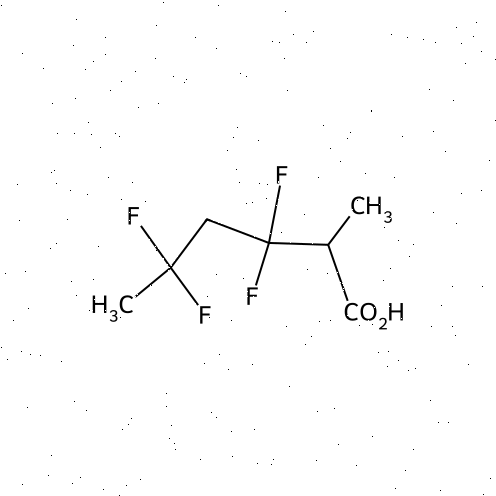 CC(C(=O)O)C(F)(F)CC(C)(F)F